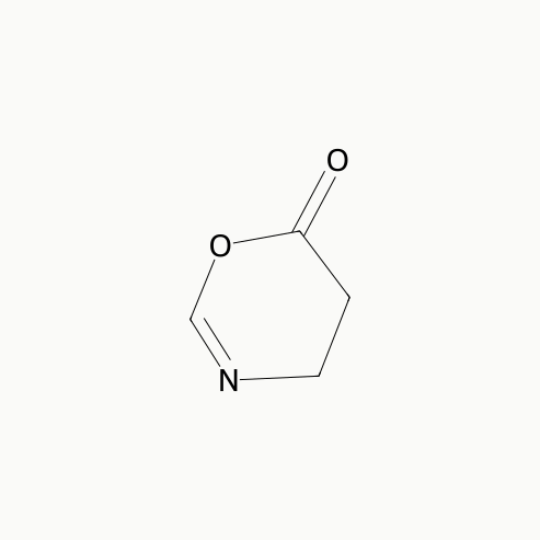 O=C1CCN=CO1